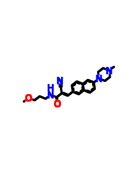 COCCCNC(=O)/C(C#N)=C/c1ccc2cc(N3CCN(C)CC3)ccc2c1